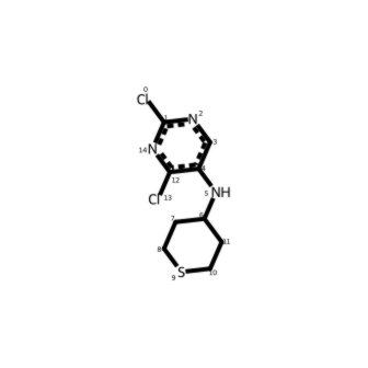 Clc1ncc(NC2CCSCC2)c(Cl)n1